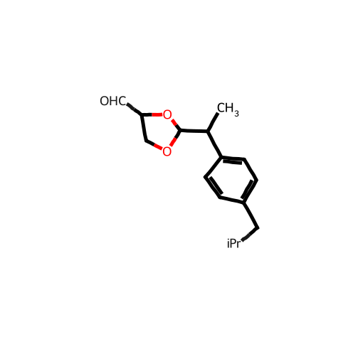 CC(C)Cc1ccc(C(C)C2OCC(C=O)O2)cc1